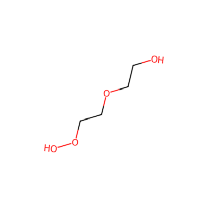 OCCOCCOO